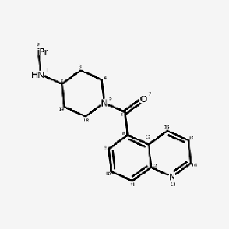 CC(C)NC1CCN(C(=O)c2cccc3ncccc23)CC1